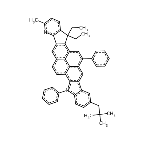 CCC1(CC)c2ccc(C)nc2-c2cc3ccc4c5c(cc6c7cc(CC(C)(C)C)ccc7n(-c7ccccc7)c64)c(-c4ccccc4)cc(c21)c35